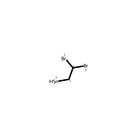 BrC(Br)[CH2][SnH]